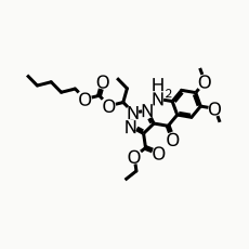 CCCCCOC(=O)OC(CC)n1nc(C(=O)OCC)c(C(=O)c2cc(OC)c(OC)cc2N)n1